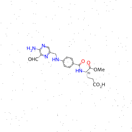 COC(=O)[C@H](CCC(=O)O)NC(=O)c1ccc(NCc2cnc(N)c(C=O)n2)cc1